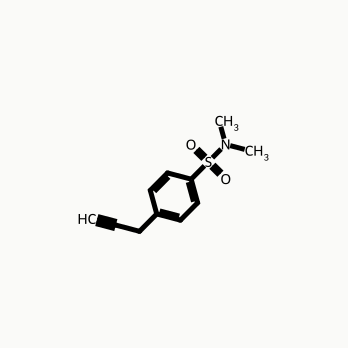 C#CCc1ccc(S(=O)(=O)N(C)C)cc1